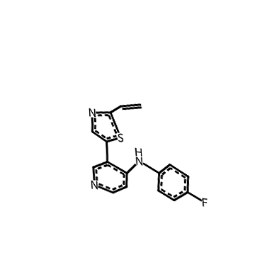 C=Cc1ncc(-c2cnccc2Nc2ccc(F)cc2)s1